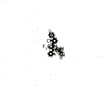 Cc1ccccc1-c1nc(NS(=O)(=O)c2cnn(C)c2)nc(Oc2cccc(N3CCN(C)CC3)c2Cl)c1CC(F)(F)F